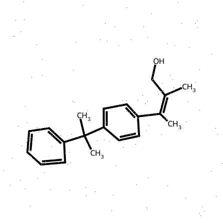 CC(CO)=C(C)c1ccc(C(C)(C)c2ccccc2)cc1